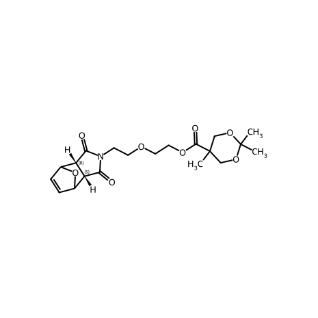 CC1(C)OCC(C)(C(=O)OCCOCCN2C(=O)[C@@H]3C4C=CC(O4)[C@@H]3C2=O)CO1